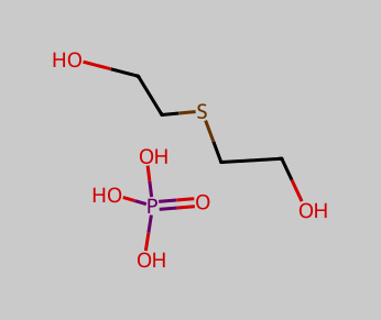 O=P(O)(O)O.OCCSCCO